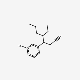 CCCC(CC)C(CC#N)c1cncc(Br)c1